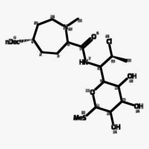 CCCCCCCCCC[C@H]1CCC(C(=O)NC(C2OC(SC)C(O)C(O)C2O)[C@H](C)Cl)N(C)CC1